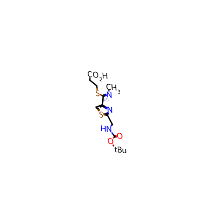 C/N=C(\SCCC(=O)O)c1csc(CNC(=O)OC(C)(C)C)n1